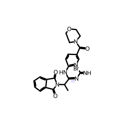 CC(/C(=N/C(=N)Br)Nc1ccc(C(=O)N2CCOCC2)cn1)N1C(=O)c2ccccc2C1=O